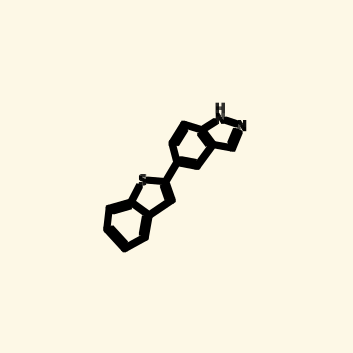 c1ccc2sc(-c3ccc4[nH]ncc4c3)cc2c1